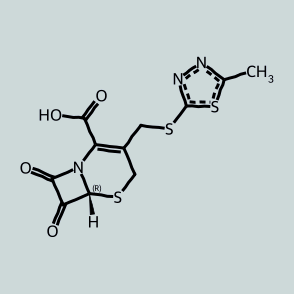 Cc1nnc(SCC2=C(C(=O)O)N3C(=O)C(=O)[C@H]3SC2)s1